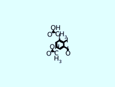 CC(=O)O.CC(=O)O.O=Ic1cccc(I)c1I